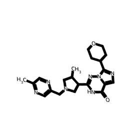 Cc1cnc(CN2CC(C)C(c3nn4c(C5CCOCC5)ncc4c(=O)[nH]3)C2)cn1